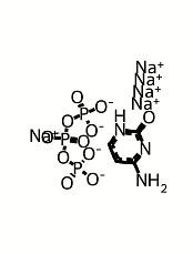 Nc1cc[nH]c(=O)n1.O=P([O-])([O-])OP(=O)([O-])OP(=O)([O-])[O-].[Na+].[Na+].[Na+].[Na+].[Na+]